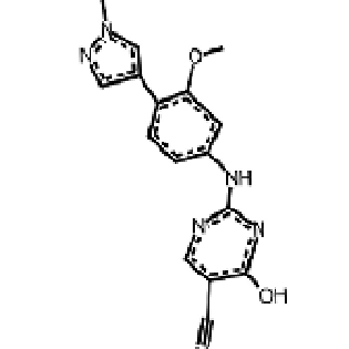 COc1cc(Nc2ncc(C#N)c(O)n2)ccc1-c1cnn(C)c1